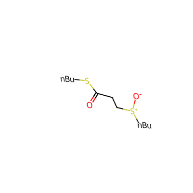 CCCCSC(=O)CC[S+]([O-])CCCC